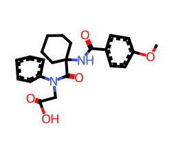 COc1ccc(C(=O)NC2(C(=O)N(CC(=O)O)c3ccccc3)CCCCC2)cc1